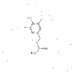 Cc1cc(CSC(O)C(=O)O)cc(C)c1O